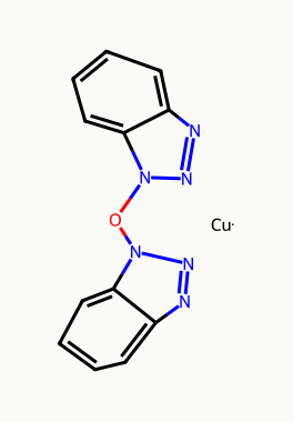 [Cu].c1ccc2c(c1)nnn2On1nnc2ccccc21